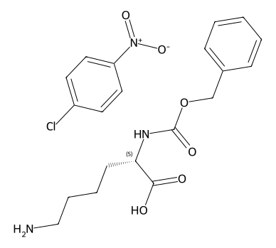 NCCCC[C@H](NC(=O)OCc1ccccc1)C(=O)O.O=[N+]([O-])c1ccc(Cl)cc1